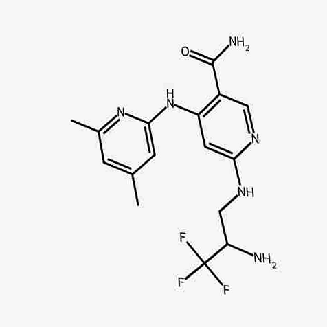 Cc1cc(C)nc(Nc2cc(NCC(N)C(F)(F)F)ncc2C(N)=O)c1